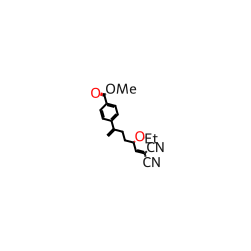 C=C(CCC(C=C(C#N)C#N)OCC)c1ccc(C(=O)OC)cc1